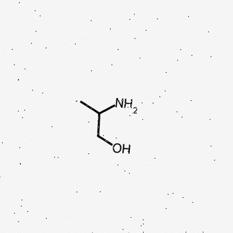 [CH2]C(N)CO